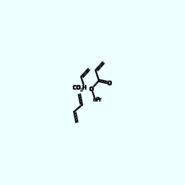 C=CC(=O)O.C=CC(=O)OCCC.C=CC=C